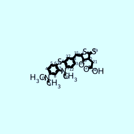 CN(C)c1ccc2c(c1)N(C)c1ccc(C=C3SC(=S)C(CC(=O)O)C3=O)cc1S2